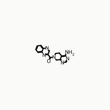 Nc1ncnc2c1CCN(C(=O)c1cnc3ccccc3n1)C2